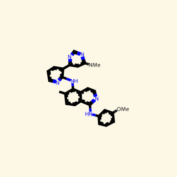 CNc1cc(-c2cccnc2Nc2c(C)ccc3c(Nc4cccc(OC)c4)nccc23)ncn1